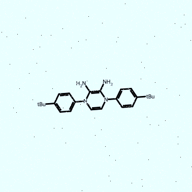 CC(C)(C)c1ccc(N2C=CN(c3ccc(C(C)(C)C)cc3)C(N)=C2N)cc1